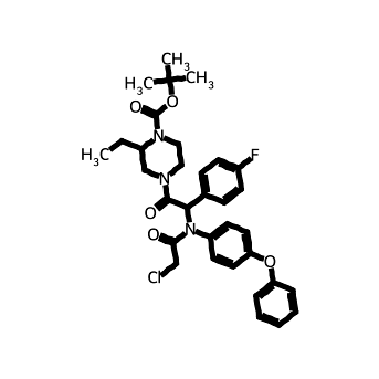 CCC1CN(C(=O)C(c2ccc(F)cc2)N(C(=O)CCl)c2ccc(Oc3ccccc3)cc2)CCN1C(=O)OC(C)(C)C